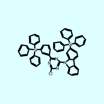 Clc1nc(-c2cccc([Si](c3ccccc3)(c3ccccc3)c3ccccc3)c2)nc(-n2c3ccccc3c3ccc([Si](c4ccccc4)(c4ccccc4)c4ccccc4)cc32)n1